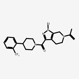 C=C(C)N1CCc2c(C(=O)N3CCC(c4ccccc4C(F)(F)F)CC3)nn(CC)c2C1